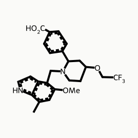 COc1cc(C)c2[nH]ccc2c1CN1CCC(OCC(F)(F)F)CC1c1ccc(C(=O)O)cc1